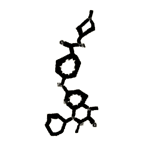 C[C@@H]1C(=O)N(C)c2ccc(Nc3ccc(C(=O)NC4CN(C)C4)cc3)nc2N1C1CCCCC1